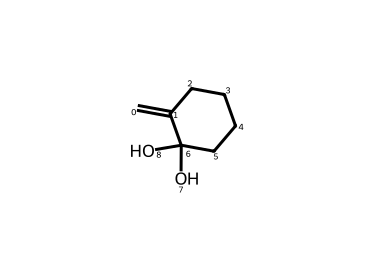 C=C1CCCCC1(O)O